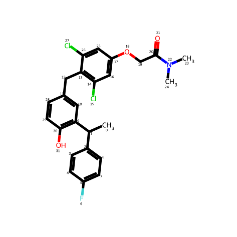 CC(c1ccc(F)cc1)c1cc(Cc2c(Cl)cc(OCC(=O)N(C)C)cc2Cl)ccc1O